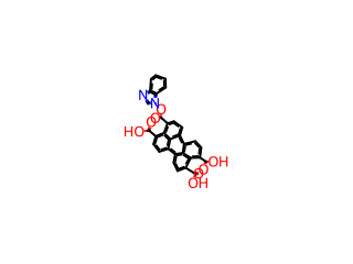 O=C(O)c1ccc2c3ccc(C(=O)O)c4c(C(=O)On5cnc6ccccc65)ccc(c5ccc(C(=O)O)c1c25)c43